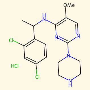 COc1cnc(N2CCNCC2)nc1NC(C)c1ccc(Cl)cc1Cl.Cl